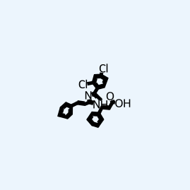 Clc1ccc(-c2c[nH]c(C=Cc3ccccc3)n2)c(Cl)c1.O=C(O)C=Cc1ccccc1